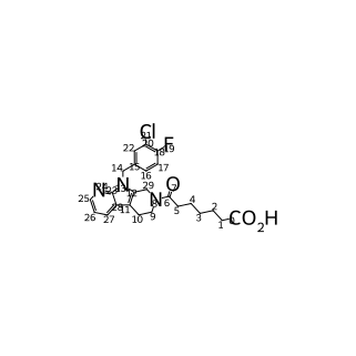 O=C(O)CCCCCC(=O)N1CCc2c(n(Cc3ccc(F)c(Cl)c3)c3ncccc23)C1